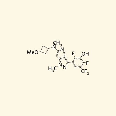 COC1CC(N(C)c2cc3c(cn2)c(-c2cc(C(F)(F)F)c(F)c(O)c2F)nn3C)C1